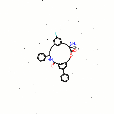 CC1(N)Cc2cc(F)cc(c2)CCC(c2ccccc2)NC(=O)c2cc(cc(-c3ccccc3)c2)COC1=O